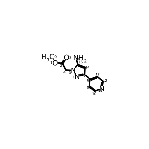 COC(=O)Cn1nc(-c2ccncc2)cc1N